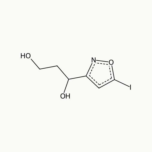 OCCC(O)c1cc(I)on1